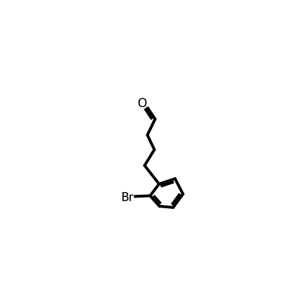 O=CCCCc1ccccc1Br